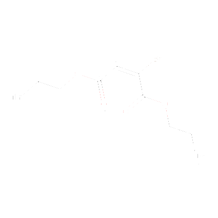 CC(C)CCOC(=O)/C=C(/Br)C(=O)OCCC(C)C